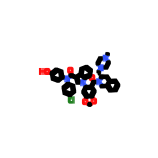 CN1CCN(C[C@@H]2Cc3ccccc3CN2C(=O)c2cc3c(cc2-n2cc(C(=O)N(c4ccc(O)cc4)c4ccc(Cl)cc4)c4ccccc42)OCO3)CC1